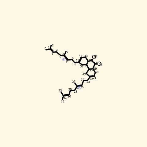 CC(C)=CCC/C(C)=C/CCC1=CCC2C(=O)C(=O)C3CC=C(CC/C=C(\C)CCC=C(C)C)CC3C2C1